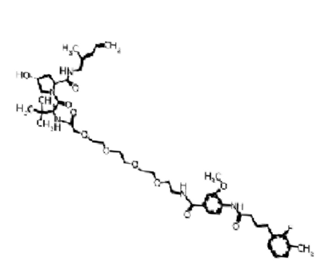 C=C/C=C(\C)CNC(=O)[C@@H]1C[C@@H](O)CN1C(=O)[C@@H](NC(=O)COCCOCCOCCOCCNC(=O)c1ccc(NC(=O)CCCc2cccc(C)c2F)c(OC)c1)C(C)(C)C